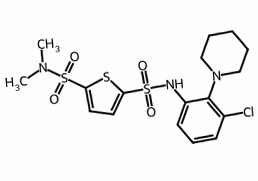 CN(C)S(=O)(=O)c1ccc(S(=O)(=O)Nc2cccc(Cl)c2N2CCCCC2)s1